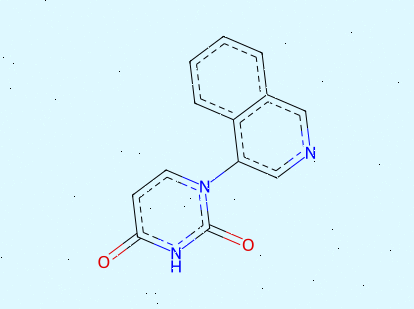 O=c1ccn(-c2cncc3ccccc23)c(=O)[nH]1